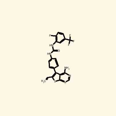 C=Cc1sc2ncnc(N)c2c1-c1ccc(NC(=O)Nc2cc(C(F)(F)F)ccc2F)cc1